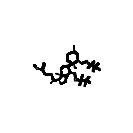 COC(=O)CC[C@@H](C)[C@H]1CCC2[C@H](CO[Si](C)(C)C(C)(C)C)C([C@@]3(C)CC[C@H](C)C[C@@H]3CO[Si](C)(C)C(C)(C)C)CC[C@@]21C